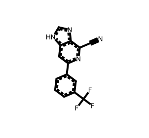 N#Cc1nc(-c2cccc(C(F)(F)F)c2)cc2[nH]cnc12